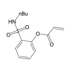 C=CC(=O)Oc1ccccc1S(=O)(=O)NCCCC